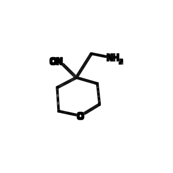 NCC1(N=O)CCOCC1